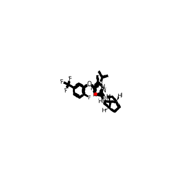 Cc1noc(N2C[C@H]3CC[C@@H](C2)[C@@H]3Nc2nc(Oc3cc(C(F)(F)F)ccc3F)n(C(C)C)n2)n1